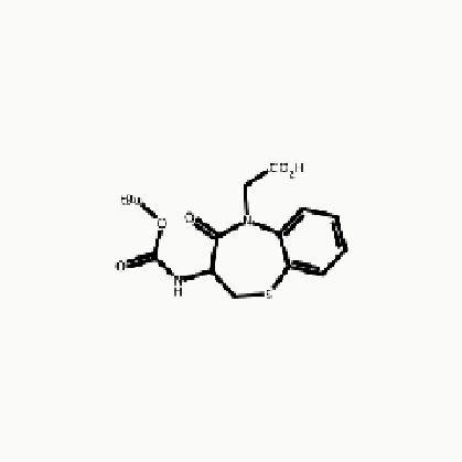 CC(C)(C)OC(=O)NC1CSc2ccccc2N(CC(=O)O)C1=O